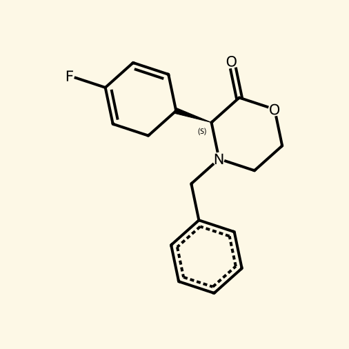 O=C1OCCN(Cc2ccccc2)[C@H]1C1C=CC(F)=CC1